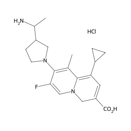 CC1=C(N2CCC(C(C)N)C2)C(F)=CN2CC(C(=O)O)=CC(C3CC3)=C12.Cl